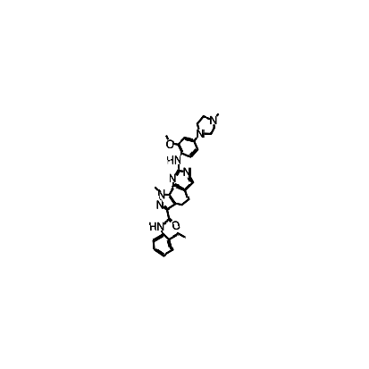 CCc1ccccc1NC(=O)c1nn(C)c2c1CCc1cnc(Nc3ccc(N4CCN(C)CC4)cc3OC)nc1-2